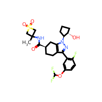 CC1(NC(=O)[C@@H]2CCc3c(-c4cc(OC(F)F)ccc4F)nn([C@H]4CCC[C@@H]4O)c3C2)CS(=O)(=O)C1